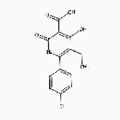 CCc1c(-c2ccc(Cl)cc2)[nH]c(=O)c(C(=O)O)c1O